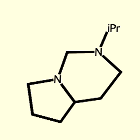 CC(C)N1CCC2CCCN2C1